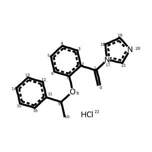 C=C(c1ccccc1OC(C)c1ccccc1)n1ccnc1.Cl